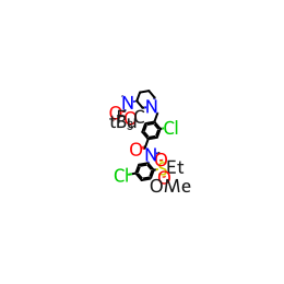 CCS(=O)(=O)c1c(OC)cc(Cl)cc1N(C)C(=O)c1cc(Cl)c(CN2CCC[C@H](N(C)C(=O)OC(C)(C)C)C2)c(C(F)(F)F)c1